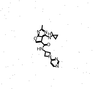 Cc1nc(NC2(C)CC2)c2c(C(=O)NC3CN(c4ccncn4)C3)coc2n1